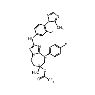 Cc1ncnn1-c1ccc(Nc2nc3n(n2)CC[C@@](C)(OC(=O)C(F)(F)F)C[C@@H]3c2ccc(F)cc2)cc1F